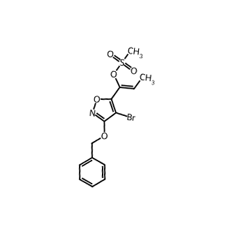 CC=C(OS(C)(=O)=O)c1onc(OCc2ccccc2)c1Br